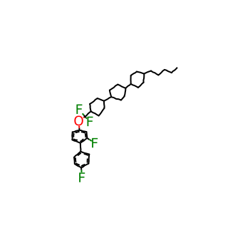 CCCCCC1CCC(C2CCC(C3CCC(C(F)(F)Oc4ccc(-c5ccc(F)cc5)c(F)c4)CC3)CC2)CC1